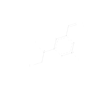 C=Cc1cc(F)cc([C](C)CO)c1